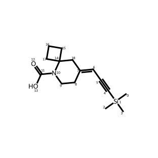 C[Si](C)(C)C#CC=C1CCN(C(=O)O)C2(CCC2)C1